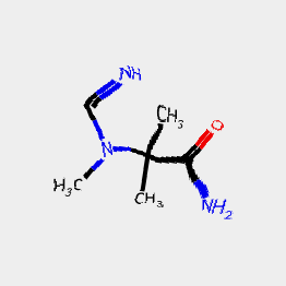 CN(C=N)C(C)(C)C(N)=O